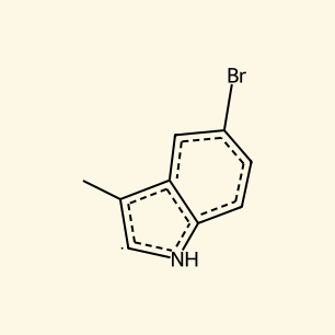 Cc1[c][nH]c2ccc(Br)cc12